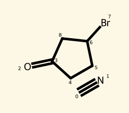 C#N.O=C1CCC(Br)C1